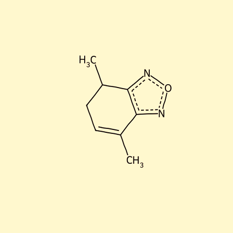 CC1=CCC(C)c2nonc21